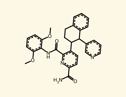 COc1cccc(OC)c1NC(=O)c1nc(C(N)=O)ccc1C1CCc2ccccc2C1c1cccnc1